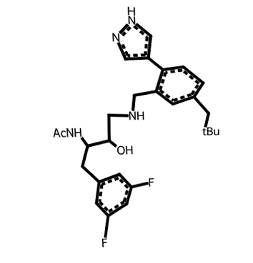 CC(=O)NC(Cc1cc(F)cc(F)c1)C(O)CNCc1cc(CC(C)(C)C)ccc1-c1cn[nH]c1